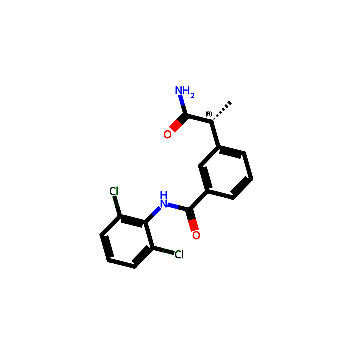 C[C@@H](C(N)=O)c1cccc(C(=O)Nc2c(Cl)cccc2Cl)c1